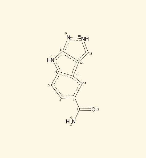 NC(=O)c1ccc2[nH]c3n[nH]cc3c2c1